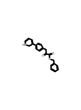 O=C(Cc1ccc(C2=CC=CNC2)cc1)C(=O)OCc1ccccc1